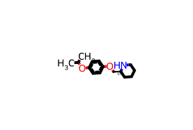 CC(C)Oc1ccc(OC[C@@H]2CCCCN2)cc1